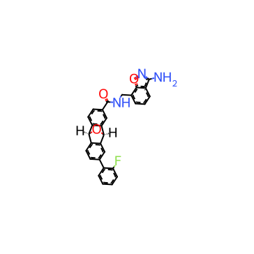 Nc1noc2c(CNC(=O)c3ccc4c(c3)[C@@H]3O[C@H]4c4ccc(-c5ccccc5F)cc43)cccc12